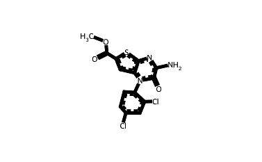 COC(=O)c1cc2c(nc(N)c(=O)n2-c2ccc(Cl)cc2Cl)s1